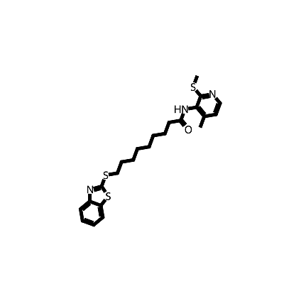 CSc1nccc(C)c1NC(=O)CCCCCCCCSc1nc2ccccc2s1